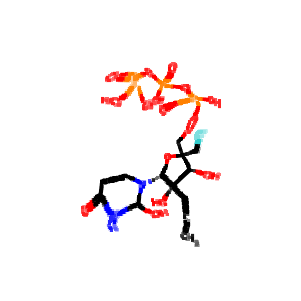 C=C=C[C@@]1(O)[C@H](O)[C@@](CF)(COP(=O)(O)OP(=O)(O)OP(=O)(O)O)O[C@H]1N1C=CC(=O)NC1O